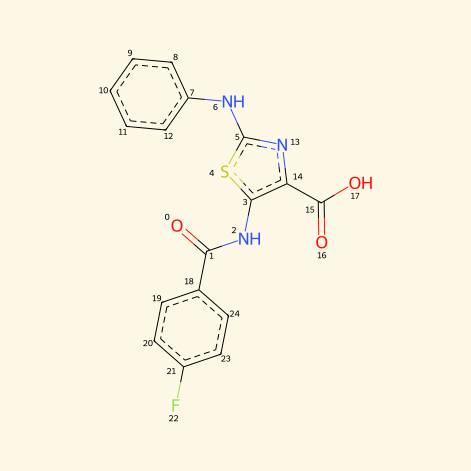 O=C(Nc1sc(Nc2ccccc2)nc1C(=O)O)c1ccc(F)cc1